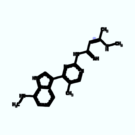 CN/C(C)=C\C(=N)Nc1ncc(C)c(-c2c[nH]c3c(NC)cccc23)n1